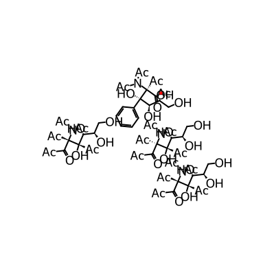 CC(=O)C(=O)[C@@](C(C)=O)(N(C(C)=O)C(C)=O)[C@](O)(C(C)=O)[C@H](O)[C@H](O)CO.CC(=O)C(=O)[C@](C(C)=O)(N(C(C)=O)C(C)=O)[C@](O)(C(C)=O)[C@@H](O)[C@H](O)CO.CC(=O)C(=O)[C@](C(C)=O)(N(C(C)=O)C(C)=O)[C@](O)(C(C)=O)[C@H](O)[C@H](O)CO.CC(=O)C(=O)[C@](C(C)=O)(N(C(C)=O)C(C)=O)[C@](O)(c1ccccc1)[C@H](O)[C@H](O)CO